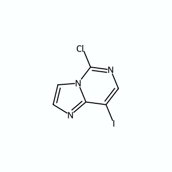 Clc1ncc(I)c2nccn12